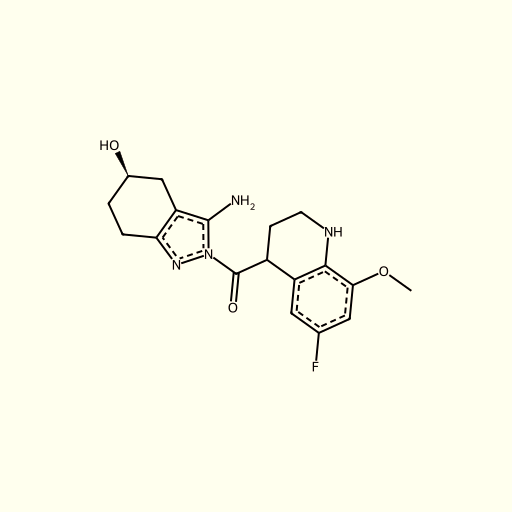 COc1cc(F)cc2c1NCCC2C(=O)n1nc2c(c1N)C[C@H](O)CC2